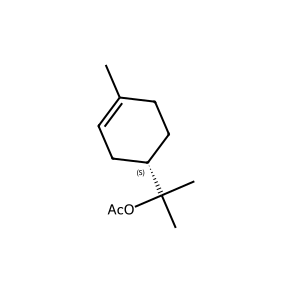 CC(=O)OC(C)(C)[C@@H]1CC=C(C)CC1